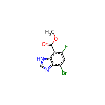 COC(=O)c1c(F)cc(Br)c2nc[nH]c12